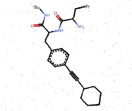 CC(C)CC(N)C(=O)NC(Cc1ccc(C#CC2CCCCC2)cc1)C(=O)NC(C)(C)C